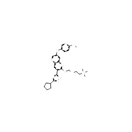 COc1ccc(Nc2cnc3cc(-c4nnc(C5CCCC5)s4)c(NCOCC[Si](C)(C)C)nc3c2)cn1